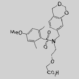 COc1cc(C)c(S(=O)(=O)N(CCOCC(=O)O)Cc2ccc3c(c2)OCOC3)c(C)c1